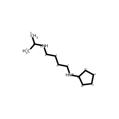 CC(C)NCCCCNC1CCCC1